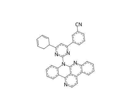 N#Cc1cccc(-c2cc(C3C=CC=CC3)nc(N3c4ccccc4-c4nccc5c4c3nc3ccccc35)n2)c1